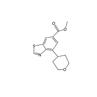 COC(=O)c1cc(C2CCOCC2)c2ncsc2c1